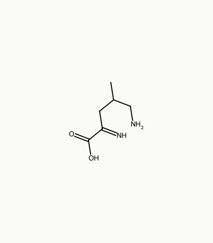 CC(CN)CC(=N)C(=O)O